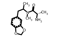 CC(Cc1ccc2c(c1)OCO2)N(C)C(=O)[C@H](C)N